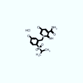 CC(C)S(=O)(=O)c1ccc(Cl)cc1Cn1cc(Cl)cc(C(N)=O)c1=N.Cl